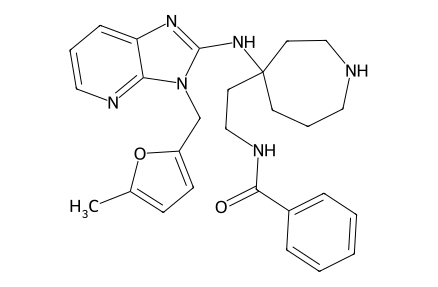 Cc1ccc(Cn2c(NC3(CCNC(=O)c4ccccc4)CCCNCC3)nc3cccnc32)o1